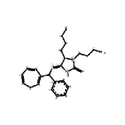 C=C1N/C(=N\C(C2=CCC=CC=C2)c2ccccc2)C(CCCC)N1CCCI